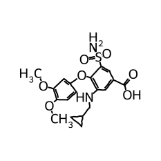 COc1ccc(Oc2c(NCC3CC3)cc(C(=O)O)cc2S(N)(=O)=O)cc1OC